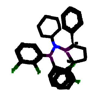 Fc1cccc(P(c2cccc(F)c2F)N(C2CCCCC2)P2[C@H](c3ccccc3)CC[C@H]2c2ccccc2)c1F